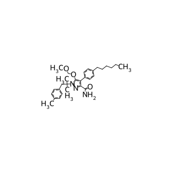 CCCCCCc1ccc(-c2c(C(N)=O)nn(C(C)(C)Cc3ccc(C)cc3)c2OCOC)cc1